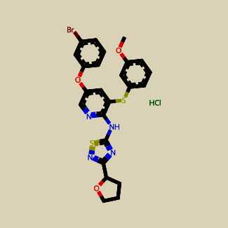 COc1cccc(Sc2cc(Oc3cccc(Br)c3)cnc2Nc2nc(C3CCCO3)ns2)c1.Cl